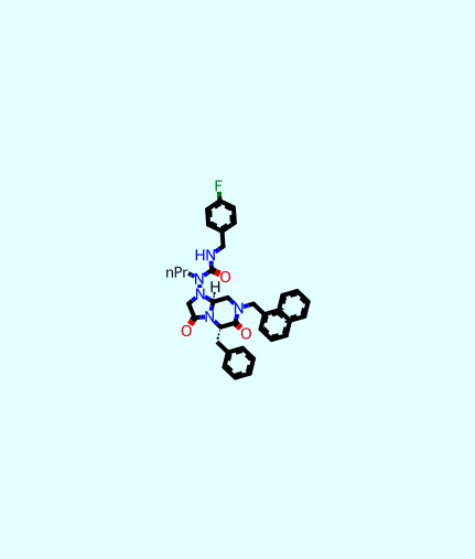 CCCN(C(=O)NCc1ccc(F)cc1)N1CC(=O)N2[C@@H](Cc3ccccc3)C(=O)N(Cc3cccc4ccccc34)C[C@@H]21